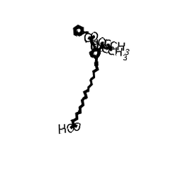 CC(C)(C)OC(=O)c1cc(C#CCCCCCCCCCCCCCCCCC(=O)O)ccc1OCC(=O)OCc1ccccc1